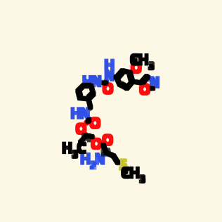 CC[C@H](COC(=O)[C@H](N)CCSC)OC(=O)NCc1cccc(NC(=O)Nc2ccc(-c3cnco3)c(OC)c2)c1